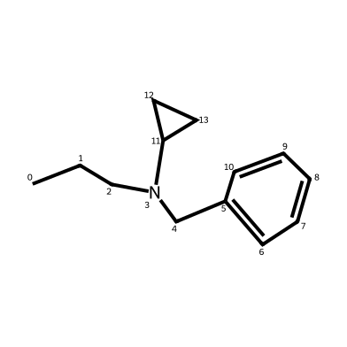 CCCN(Cc1ccccc1)C1CC1